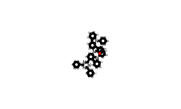 c1ccc(-c2nc(-c3ccccc3)nc(-c3ccc(-n4c5ccccc5c5c4ccc4c6ccccc6n(-c6ccccc6)c45)c4c3c3ccccc3n4-c3ccccc3)n2)cc1